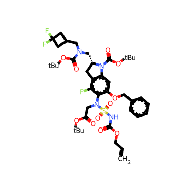 C=CCOC(=O)NS(=O)(=O)N(CC(=O)OC(C)(C)C)c1c(OCc2ccccc2)cc2c(c1F)C[C@H](CN(CC1CC(F)(F)C1)C(=O)OC(C)(C)C)N2C(=O)OC(C)(C)C